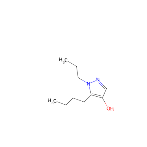 CCCCc1c(O)cnn1CCC